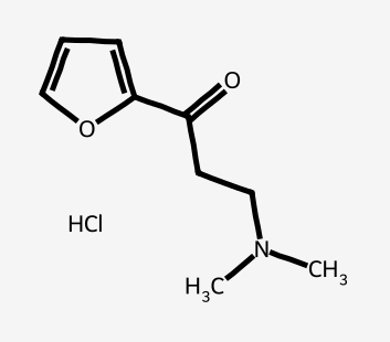 CN(C)CCC(=O)c1ccco1.Cl